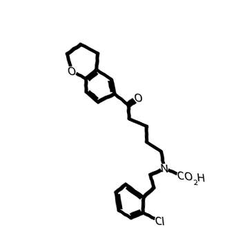 O=C(CCCCN(CCc1ccccc1Cl)C(=O)O)c1ccc2c(c1)CCCO2